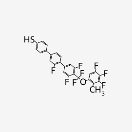 Cc1c(OC(F)(F)c2c(F)cc(-c3ccc(-c4ccc(S)cc4)cc3F)cc2F)cc(F)c(F)c1F